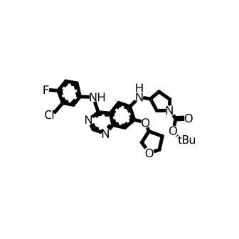 CC(C)(C)OC(=O)N1CCC(Nc2cc3c(Nc4ccc(F)c(Cl)c4)ncnc3cc2OC2CCOC2)C1